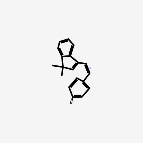 CC1(C)C=C(/C=C\c2ccc(Br)cc2)c2ccccc21